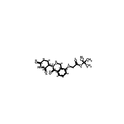 CC(C)(C)OC(=O)COc1cccc2c1CON(C1CCC(=O)NC1=O)C2=O